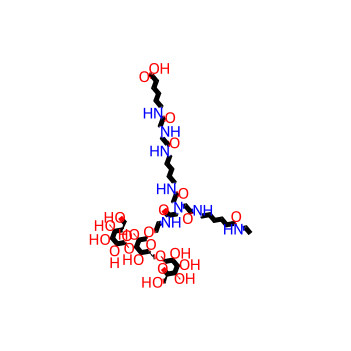 CCNC(=O)CCCCCNC(=O)CN(CC(=O)NCCCCCNC(=O)CNCC(=O)NCCCCCC(=O)O)CC(=O)NCCO[C@H]1O[C@H](CO[C@H]2O[C@H](CO)[C@@H](O)[C@H](O)[C@@H]2O)[C@@H](O)[C@H](O[C@H]2O[C@H](CO)[C@@H](O)[C@H](O)[C@@H]2O)[C@@H]1O